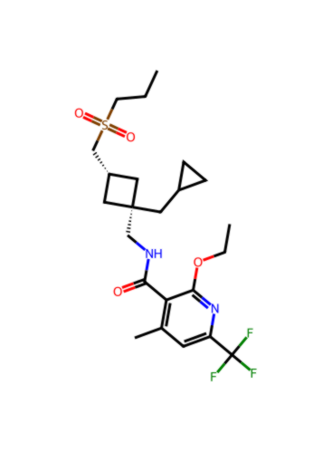 CCCS(=O)(=O)C[C@H]1C[C@](CNC(=O)c2c(C)cc(C(F)(F)F)nc2OCC)(CC2CC2)C1